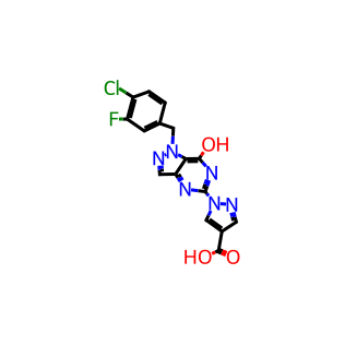 O=C(O)c1cnn(-c2nc(O)c3c(cnn3Cc3ccc(Cl)c(F)c3)n2)c1